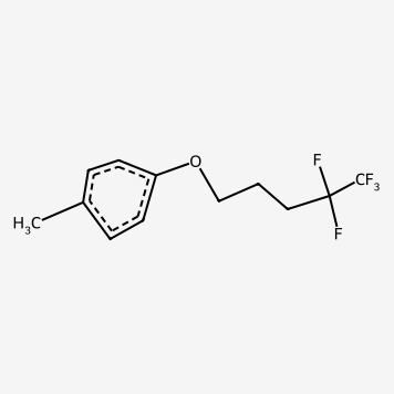 Cc1ccc(OCCCC(F)(F)C(F)(F)F)cc1